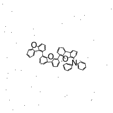 c1ccc(N(c2ccccc2)c2cccc3c2oc2c(-c4cccc5c4oc4c(-c6cccc7oc8ccccc8c67)cccc45)cccc23)cc1